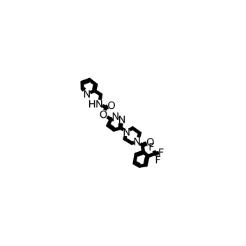 O=C(NCc1ccccn1)Oc1ccc(N2CCN(C(=O)c3ccccc3C(F)(F)F)CC2)nn1